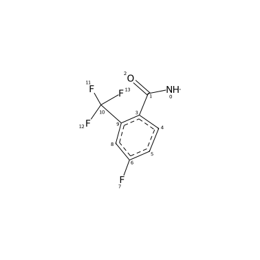 [NH]C(=O)c1ccc(F)cc1C(F)(F)F